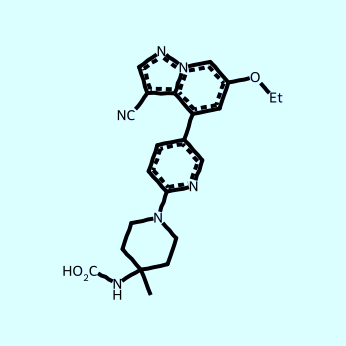 CCOc1cc(-c2ccc(N3CCC(C)(NC(=O)O)CC3)nc2)c2c(C#N)cnn2c1